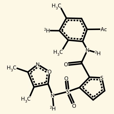 [2H]c1c(C)cc(C(C)=O)c(N([2H])C(=O)c2sccc2S(=O)(=O)N([2H])c2onc(C)c2C)c1C